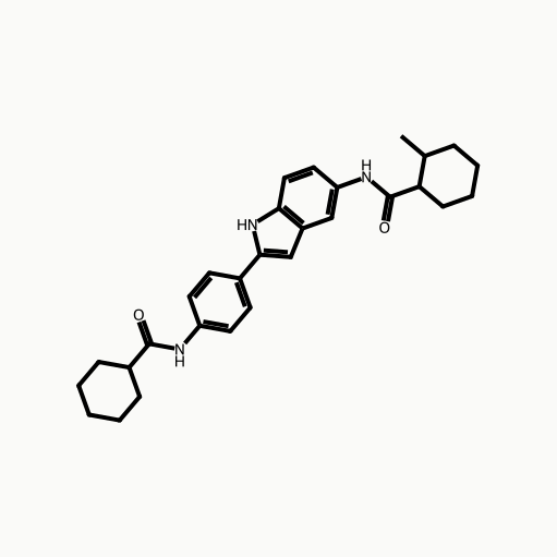 CC1CCCCC1C(=O)Nc1ccc2[nH]c(-c3ccc(NC(=O)C4CCCCC4)cc3)cc2c1